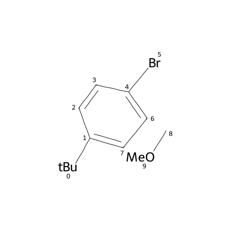 CC(C)(C)c1ccc(Br)cc1.COC